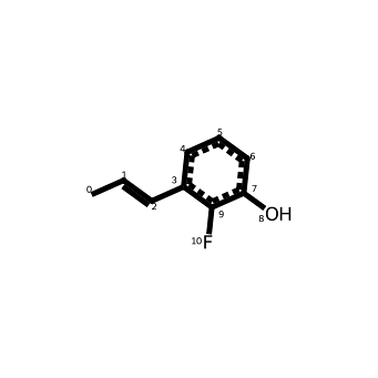 CC=Cc1cccc(O)c1F